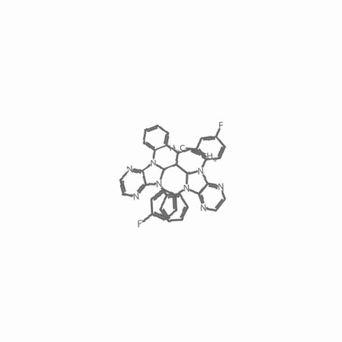 C=CC1c2ccccc2N2c3nccnc3N(c3ccccc3)C2C1C1N(c2ccc(F)cc2)c2nccnc2N1c1ccc(F)cc1C